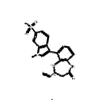 C=C[C@@H]1CC(=O)Nc2cccc(-c3cn(C)c4cc(S(C)(=O)=O)ccc34)c2N1